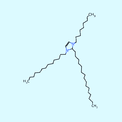 CCCCCCCCCCCCCCCCC1N(CCCCCCCCC)C=CN1CCCCCCCCCCCCC